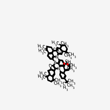 CC(C)(C)c1ccc(N2c3cc([Si](C)(C)C)cc4c3B(c3ccc5c6c3N4c3cc4c(cc3C6(C)CCC5(C)C)C(C)(C)CCC4(C)C)c3oc4cc5c(cc4c32)C(C)(C)CCC5(C)C)c(-c2ccccc2)c1